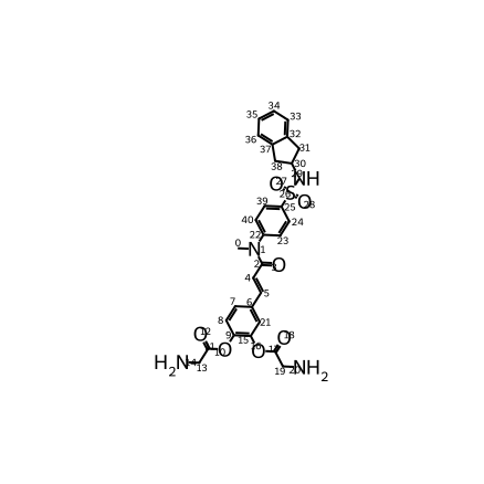 CN(C(=O)/C=C/c1ccc(OC(=O)CN)c(OC(=O)CN)c1)c1ccc(S(=O)(=O)NC2Cc3ccccc3C2)cc1